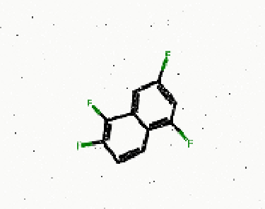 Fc1cc(F)c2ccc(F)c(F)c2c1